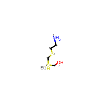 CC[SH](CO)CSCCN